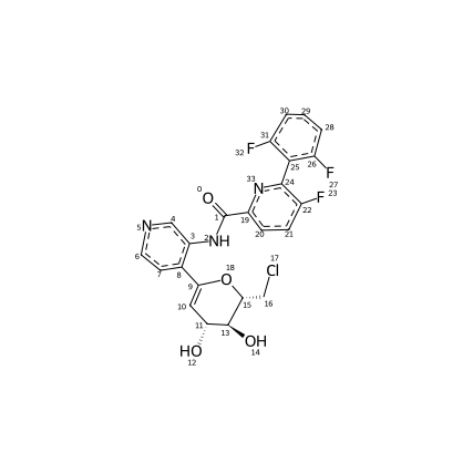 O=C(Nc1cnccc1C1=C[C@@H](O)[C@H](O)[C@@H](CCl)O1)c1ccc(F)c(-c2c(F)cccc2F)n1